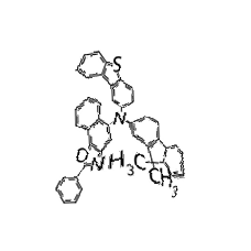 CC1(C)c2ccccc2-c2ccc(N(c3ccc4sc5ccccc5c4c3)c3cc4nc(-c5ccccc5)oc4c4ccccc34)cc21